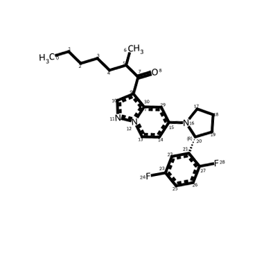 CCCCCC(C)C(=O)c1cnn2ccc(N3CCC[C@@H]3c3cc(F)ccc3F)cc12